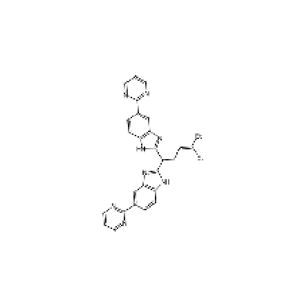 CCC(=CCC(c1nc2cc(-c3ncccn3)ccc2[nH]1)c1nc2cc(-c3ncccn3)ccc2[nH]1)CC